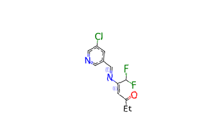 CCC(=O)/C=C(/N=C/c1cncc(Cl)c1)C(F)F